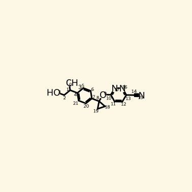 CC(CO)c1ccc(C2(Oc3ccc(C#N)nn3)CC2)cc1